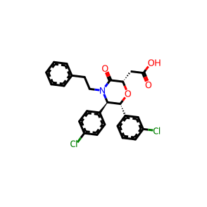 O=C(O)C[C@@H]1O[C@H](c2cccc(Cl)c2)[C@@H](c2ccc(Cl)cc2)N(CCc2ccccc2)C1=O